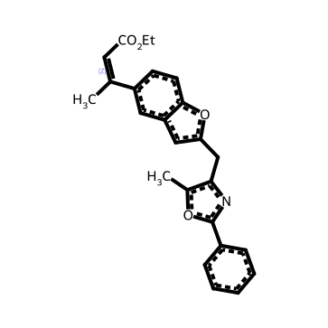 CCOC(=O)/C=C(/C)c1ccc2oc(Cc3nc(-c4ccccc4)oc3C)cc2c1